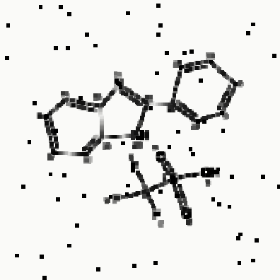 O=S(=O)(O)C(F)(F)F.c1ccc(-c2nc3ccccc3[nH]2)cc1